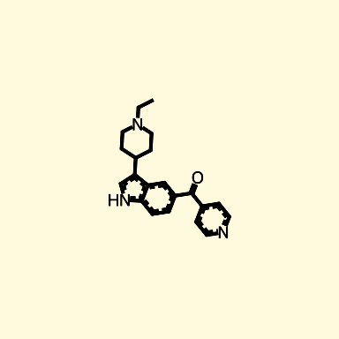 CCN1CCC(c2c[nH]c3ccc(C(=O)c4ccncc4)cc23)CC1